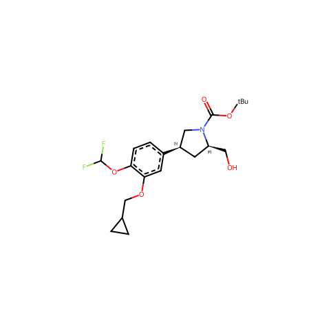 CC(C)(C)OC(=O)N1C[C@H](c2ccc(OC(F)F)c(OCC3CC3)c2)C[C@@H]1CO